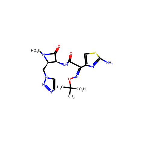 CC(C)(ON=C(C(=O)N[C@@H]1C(=O)N(S(=O)(=O)O)[C@@H]1Cn1ccnn1)c1csc(N)n1)C(=O)O